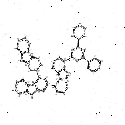 c1ccc(-c2nc(-c3ccccc3)nc(-c3cccc4c3oc3cccc(-c5cc(-c6ccc7c(c6)sc6ccccc67)c6c(c5)oc5ccccc56)c34)n2)cc1